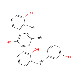 CC(C)c1ccccc1O.CCCc1ccc(O)cc1.CCCc1cccc(O)c1.CCCc1ccccc1O